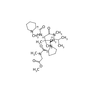 COC(=O)CN(C)C(=O)[C@@H]1CCCN1C[C@H](C(C)C)N(C)C(=O)[C@@H](NC(=O)[C@H]1CCCCN1C)C(C)(C)C